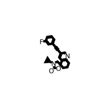 O=C1OC2(CCCc3ncc(C#Cc4cccc(F)c4)cc32)CN1C1CC1